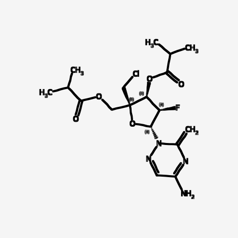 C=C1N=C(N)C=NN1[C@@H]1O[C@](CCl)(COC(=O)C(C)C)[C@@H](OC(=O)C(C)C)[C@H]1F